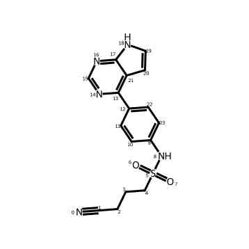 N#CCCCS(=O)(=O)Nc1ccc(-c2ncnc3[nH]ccc23)cc1